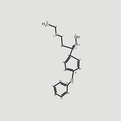 CCSCC/C(=N\O)c1ccc(Oc2ccccc2)cc1